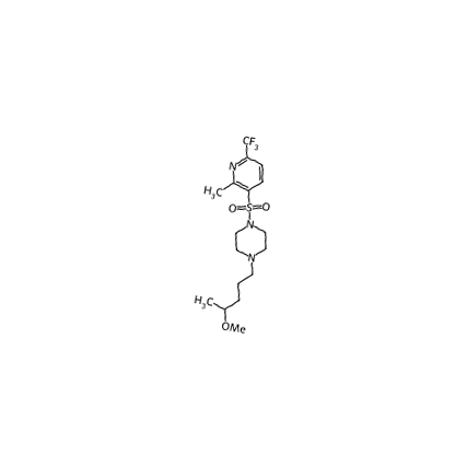 COC(C)CCCN1CCN(S(=O)(=O)c2ccc(C(F)(F)F)nc2C)CC1